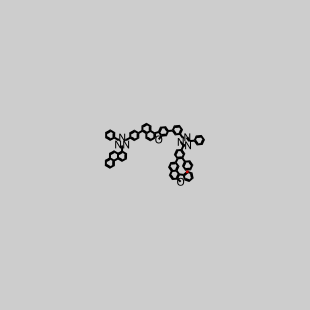 c1ccc(-c2nc(-c3cccc(-c4ccc5c(c4)oc4ccc6c(-c7ccc(-c8nc(-c9ccccc9)nc(-c9cccc%10c9ccc9ccccc9%10)n8)cc7)cccc6c45)c3)nc(-c3ccc(-c4ccc5ccc6oc7ccccc7c6c5c4)c(-c4ccccc4)c3)n2)cc1